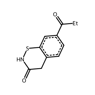 CCC(=O)c1ccc2c(c1)SNC(=O)C2